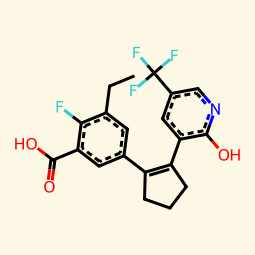 CCc1cc(C2=C(c3cc(C(F)(F)F)cnc3O)CCC2)cc(C(=O)O)c1F